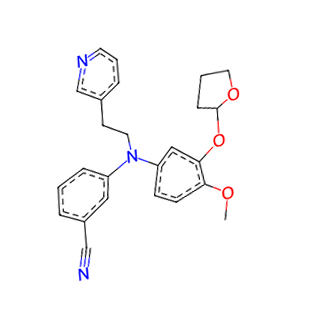 COc1ccc(N(CCc2cccnc2)c2cccc(C#N)c2)cc1OC1CCCO1